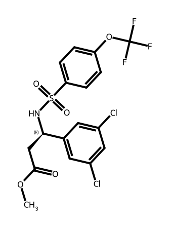 COC(=O)C[C@@H](NS(=O)(=O)c1ccc(OC(F)(F)F)cc1)c1cc(Cl)cc(Cl)c1